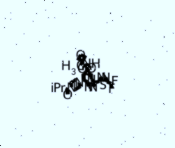 CC(C)C(=O)N1CCN(c2cc(S(=O)(=O)NC3(C)COC3)cn3c(-c4nnc(C(F)F)s4)nnc23)CC1